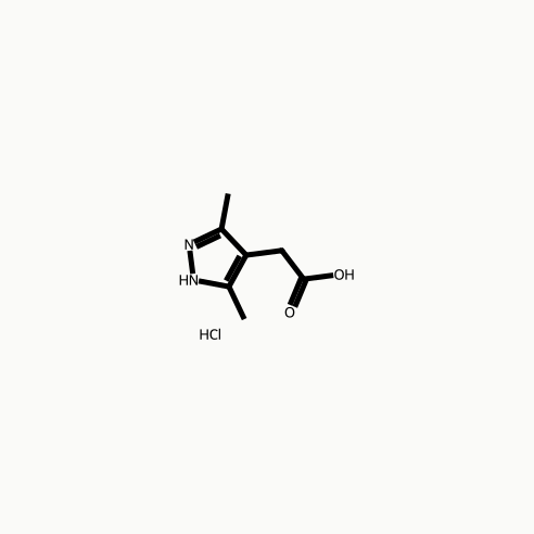 Cc1n[nH]c(C)c1CC(=O)O.Cl